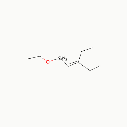 CCO[SiH2]C=C(CC)CC